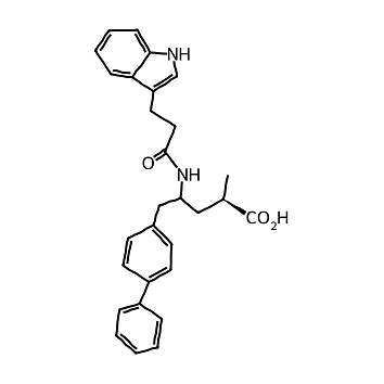 C[C@H](CC(Cc1ccc(-c2ccccc2)cc1)NC(=O)CCc1c[nH]c2ccccc12)C(=O)O